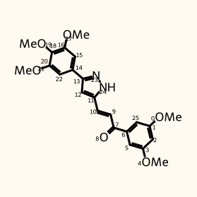 COc1cc(OC)cc(C(=O)C=Cc2cc(-c3cc(OC)c(OC)c(OC)c3)n[nH]2)c1